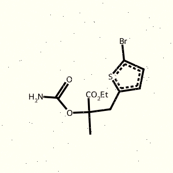 CCOC(=O)C(C)(Cc1ccc(Br)s1)OC(N)=O